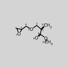 C=C(COCC1CO1)C(=O)OC